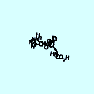 Cn1cc(-c2ccc(NC(=O)c3cc(C#CCNC(=O)O)cn(-c4ccccc4)c3=O)cc2)c2c(N)ncnc21